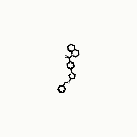 O=C(c1ccc(N2CCC(OCc3ccccc3)C2)cc1)N1CCCC2CCCC=C21